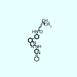 CN(C)C/C=C/C(=O)Nc1cccc(-c2cccc3cnc(Nc4ccc(N5CCCCC5)nc4)nc23)c1